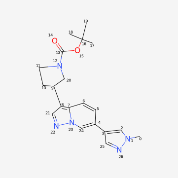 Cn1cc(-c2ccc3c(C4CCN(C(=O)OC(C)(C)C)C4)cnn3c2)cn1